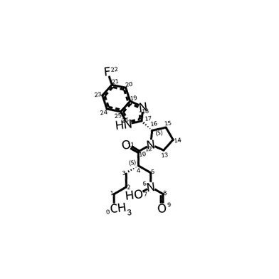 CCCC[C@@H](CN(O)C=O)C(=O)N1CCC[C@H]1c1nc2cc(F)ccc2[nH]1